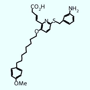 COc1ccc(CCCCCCCCOc2ccc(SCc3cccc(N)c3)nc2C=CCC(=O)O)cc1